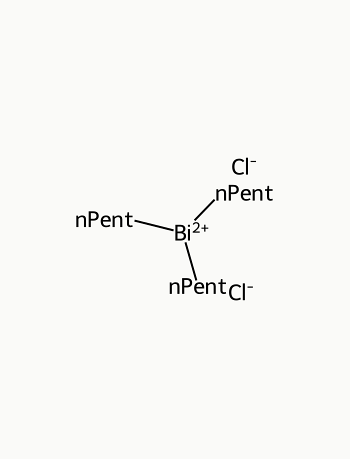 CCCC[CH2][Bi+2]([CH2]CCCC)[CH2]CCCC.[Cl-].[Cl-]